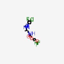 C=C(CCNC(=O)CO[C@H]1C[C@@H](OC(F)(F)F)C1)c1ncn(-c2ccc(Cl)c(F)c2)n1